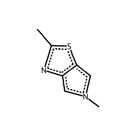 Cc1nc2cn(C)cc2s1